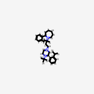 Cc1ccccc1C1CCCCCN1C(C)(C)CCN1CCN(C(C)(C)C)[C@H](c2ccccc2C(C)C)C1